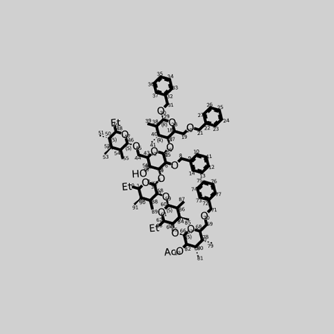 CCC1O[C@@H](O[C@@H]2C(OCc3ccccc3)[C@H](O[C@@H]3C(COCc4ccccc4)O[C@@H](OCc4ccccc4)C(C)[C@H]3C)OC(CO[C@H]3OC(CC)[C@@H](C)[C@H](C)C3C)[C@H]2O)[C@@H](O[C@@H]2OC(CC)[C@@H](O[C@@H]3OC(COCc4ccccc4)[C@H](C)[C@H](C)C3OC(C)=O)[C@H](C)C2C)C(C)[C@H]1C